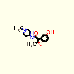 Cc1oc2ccc(O)cc2c1C(=O)NC1CCN(C)CC1